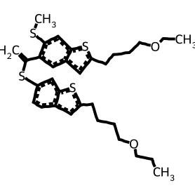 C=C(Sc1ccc2cc(CCCCOCCC)sc2c1)c1cc2cc(CCCCOCC)sc2cc1SC